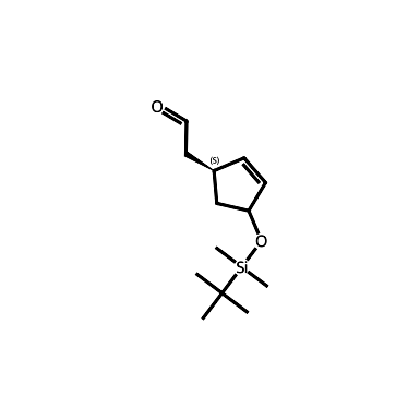 CC(C)(C)[Si](C)(C)OC1C=C[C@H](CC=O)C1